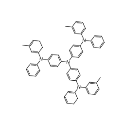 CC1=CCCC(N(c2ccccc2)c2ccc(N(c3ccc(N(C4=CC=CCC4)c4cccc(C)c4)cc3)c3ccc(N(c4ccccc4)c4cccc(C)c4)cc3)cc2)=C1